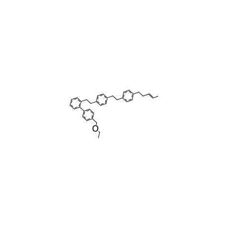 CC=CCCc1ccc(CCc2ccc(CCc3ccccc3-c3ccc(COCC)cc3)cc2)cc1